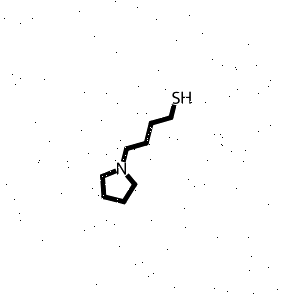 SCCCCN1CCCC1